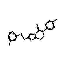 Cc1ccc(N2CCc3nc(COc4cccc(C)c4)cn3C2=O)cc1